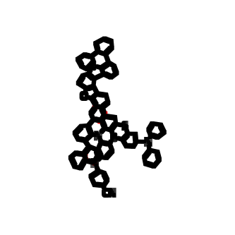 N#Cc1ccc(N(c2ccccc2)c2ccc3c(c2)N(c2c(-c4ccccc4)cccc2-c2ccccc2)c2cc(-c4ccc5c(c4)oc4ccc6sc7c(-c8ccccc8-c8ccccc8)cccc7c6c45)cc4c2B3c2ccc(N(c3ccccc3)c3ccccc3)cc2S4)cc1